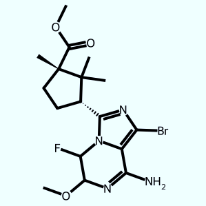 COC(=O)[C@@]1(C)CC[C@@H](c2nc(Br)c3n2C(F)C(OC)N=C3N)C1(C)C